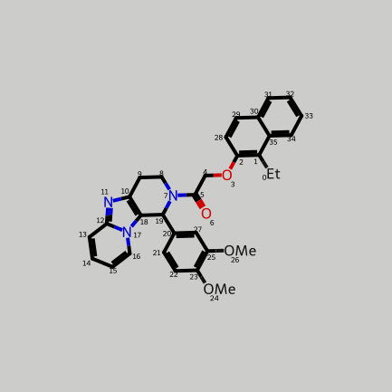 CCc1c(OCC(=O)N2CCc3nc4ccccn4c3C2c2ccc(OC)c(OC)c2)ccc2ccccc12